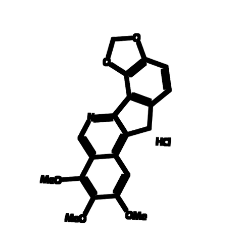 COc1cc2c3c(ncc2c(OC)c1OC)-c1c(ccc2c1OCO2)C3.Cl